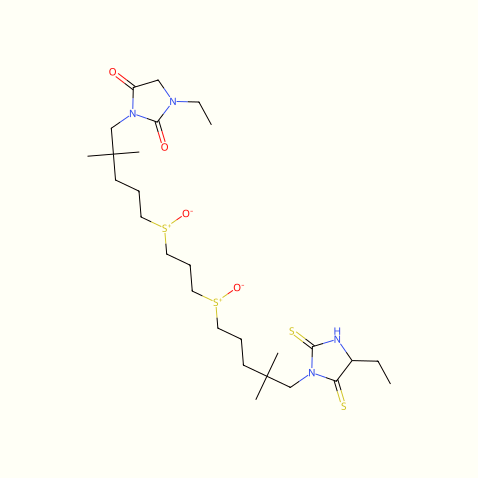 CCC1NC(=S)N(CC(C)(C)CCC[S+]([O-])CCC[S+]([O-])CCCC(C)(C)CN2C(=O)CN(CC)C2=O)C1=S